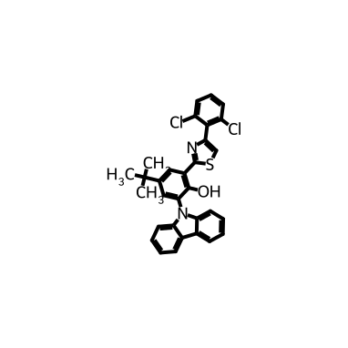 CC(C)(C)c1cc(-c2nc(-c3c(Cl)cccc3Cl)cs2)c(O)c(-n2c3ccccc3c3ccccc32)c1